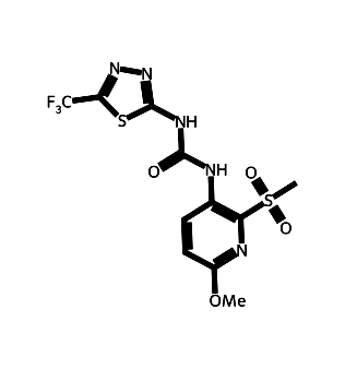 COc1ccc(NC(=O)Nc2nnc(C(F)(F)F)s2)c(S(C)(=O)=O)n1